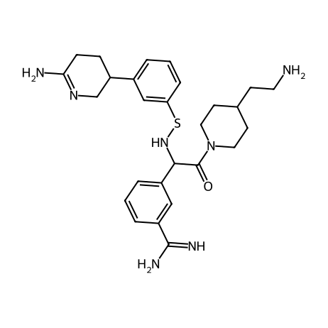 N=C(N)c1cccc(C(NSc2cccc(C3CCC(N)=NC3)c2)C(=O)N2CCC(CCN)CC2)c1